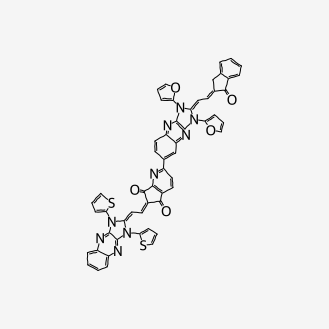 O=C1/C(=C/C=C2/N(c3ccco3)c3nc4ccc(-c5ccc6c(n5)C(=O)/C(=C\C=C5N(c7cccs7)c7nc8ccccc8nc7N5c5cccs5)C6=O)cc4nc3N2c2ccco2)Cc2ccccc21